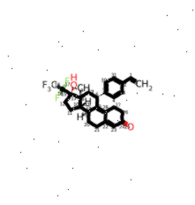 C=Cc1ccc([C@H]2C[C@@]3(C)[C@@H](CC[C@@]3(O)C(F)(F)C(F)(F)F)[C@@H]3CCC4=CC(=O)CCC4=C32)cc1